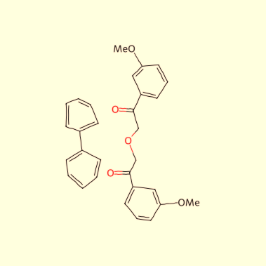 COc1cccc(C(=O)COCC(=O)c2cccc(OC)c2)c1.c1ccc(-c2ccccc2)cc1